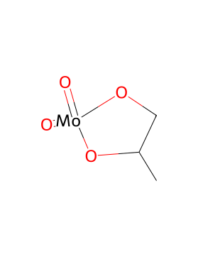 CC1C[O][Mo](=[O])(=[O])[O]1